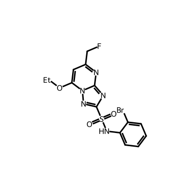 CCOc1cc(CF)nc2nc(S(=O)(=O)Nc3ccccc3Br)nn12